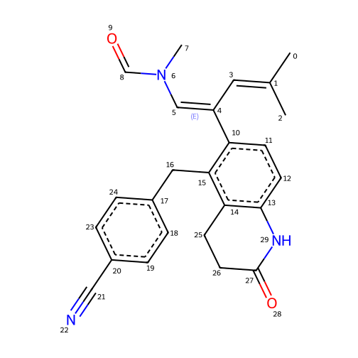 CC(C)=C/C(=C\N(C)C=O)c1ccc2c(c1Cc1ccc(C#N)cc1)CCC(=O)N2